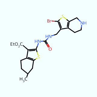 CCOC(=O)c1c(NC(=O)NCc2c(Br)sc3c2CCNC3)sc2c1CCC(C)C2